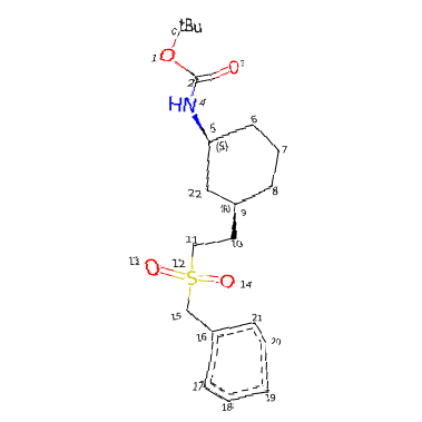 CC(C)(C)OC(=O)N[C@H]1CCC[C@@H](CCS(=O)(=O)Cc2ccccc2)C1